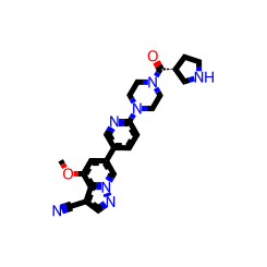 COc1cc(-c2ccc(N3CCN(C(=O)[C@@H]4CCNC4)CC3)nc2)cn2ncc(C#N)c12